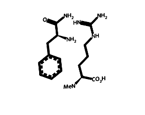 CN[C@@H](CCCNC(=N)N)C(=O)O.NC(=O)[C@@H](N)Cc1ccccc1